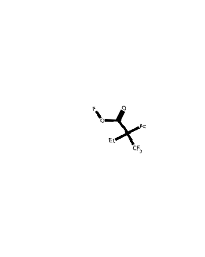 CCC(C(C)=O)(C(=O)OF)C(F)(F)F